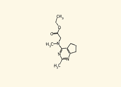 CCOC(=O)CN(C)c1nc(C)nc2c1CCC2